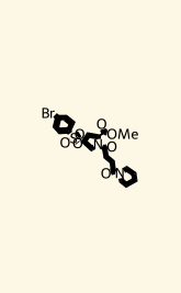 COC(=O)[C@@H]1C[C@H](OS(=O)(=O)c2ccc(Br)cc2)CN1C(=O)CCC(=O)N1CCCCC1